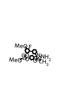 COCCS(=O)(=O)Oc1ccc(C2(c3cccc(-c4cccc(OC)c4F)c3)N=C(N)N(C)C2=O)cc1